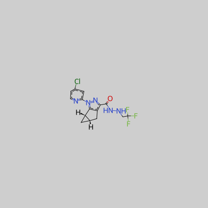 O=C(NNCC(F)(F)F)c1nn(-c2cc(Cl)ccn2)c2c1C[C@@H]1C[C@H]21